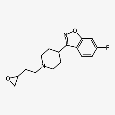 Fc1ccc2c(C3CCN(CCC4CO4)CC3)noc2c1